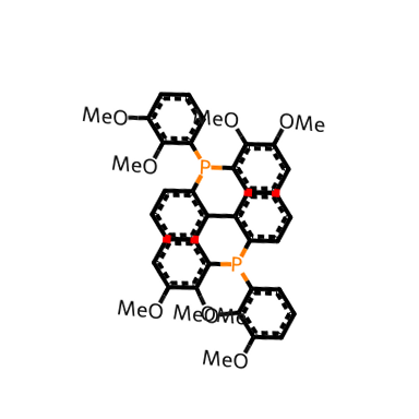 COc1cccc(P(c2ccccc2-c2ccccc2P(c2cccc(OC)c2OC)c2cccc(OC)c2OC)c2cccc(OC)c2OC)c1OC